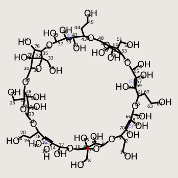 OCCC1OC2OC(CO)C(OC(O)/C(O)=C(/O)C(CCO)OC3OC(CO)C(OC4OC5(CO)C(OC(O)/C(O)=C(\O)C(CCO)OC6OC(CO)C(OC(O)/C(O)=C(\O)C(CCO)OC(O)/C(O)=C\1O)C(O)C6O)C(O)C45O)C(O)C3O)C(O)C2O